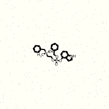 C[N+](C)(CCOP(=O)(OCc1ccccc1)Oc1cccc2[nH]ccc12)Cc1ccccc1